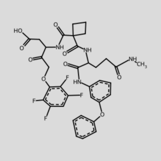 CNC(=O)CCC(NC(=O)C1(C(=O)NC(CC(=O)O)C(=O)COc2c(F)c(F)cc(F)c2F)CCC1)C(=O)Nc1cccc(Oc2ccccc2)c1